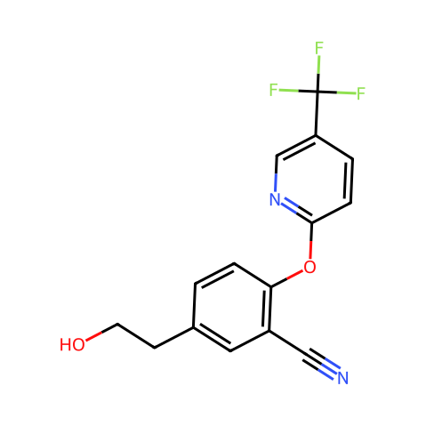 N#Cc1cc(CCO)ccc1Oc1ccc(C(F)(F)F)cn1